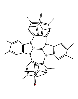 Cc1cc2c(cc1C)N(c1cc(C)c(F)c(C)c1)C(=C1N(c3cc(C)c(F)c(C)c3)c3cc(C)c(C)cc3N1c1cc(C)c(F)cc1C)N2c1cc(C)c(F)c(C)c1